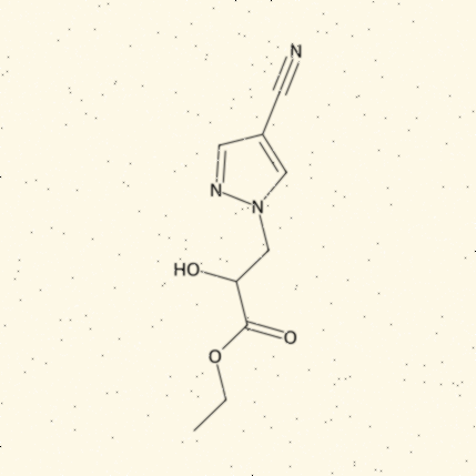 CCOC(=O)C(O)Cn1cc(C#N)cn1